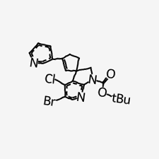 CC(C)(C)OC(=O)N1CC2(C=C(c3cccnc3)CC2)c2c1ncc(Br)c2Cl